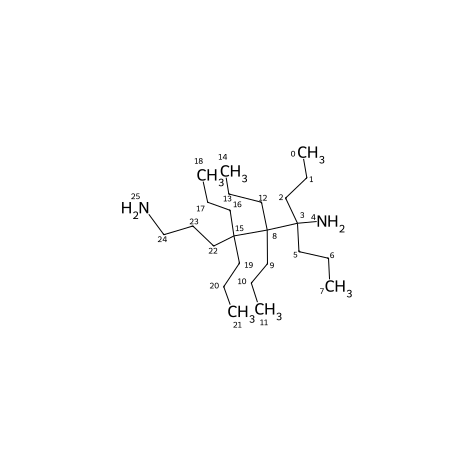 CCCC(N)(CCC)C(CCC)(CCC)C(CCC)(CCC)CCCN